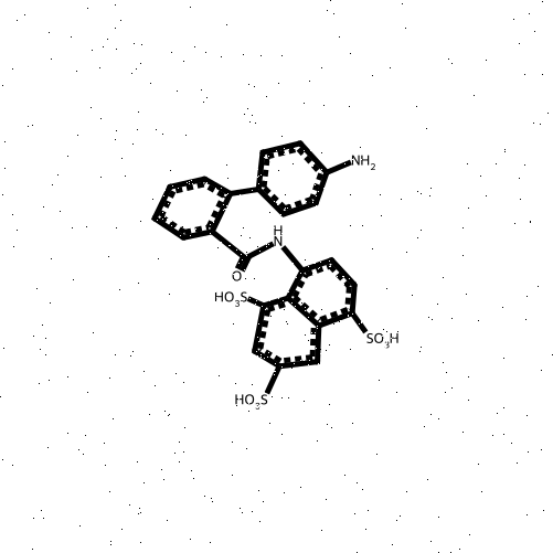 Nc1ccc(-c2ccccc2C(=O)Nc2ccc(S(=O)(=O)O)c3cc(S(=O)(=O)O)cc(S(=O)(=O)O)c23)cc1